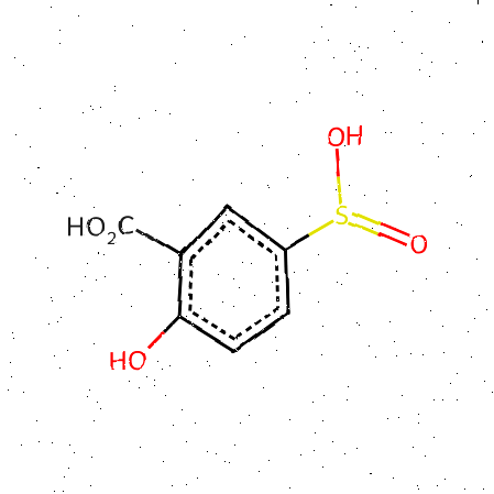 O=C(O)c1cc(S(=O)O)ccc1O